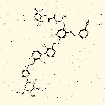 Cc1c(COc2cc(OCc3cncc(C#N)c3)c(CN(C)CC(=O)NCC(S(=O)(=O)O)S(=O)(=O)O)cc2Cl)cccc1-c1cccc(OCc2cn([C@@H]3O[C@H](CO)[C@@H](O)[C@H](O)[C@H]3F)nn2)c1C